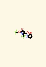 O=C(N[C@H]1CCCC[C@H]1O)c1cc(Br)c(OCC(F)(F)F)nc1C(F)(F)F